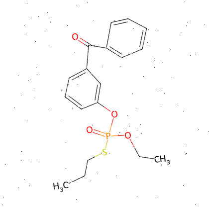 CCCSP(=O)(OCC)Oc1cccc(C(=O)c2ccccc2)c1